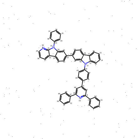 c1ccc(-c2cc(-c3ccc(-n4c5ccccc5c5ccc(-c6ccc7c8cccnc8n(-c8ccccc8)c7c6)cc54)cc3)cc(-c3ccccc3)n2)cc1